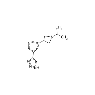 CC(C)N1CC(c2cccc(-c3c[nH]nn3)c2)C1